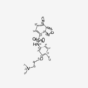 CN(C)CCOc1cc(NS(=O)(=O)c2ccc(Cl)c3nonc23)ccc1I